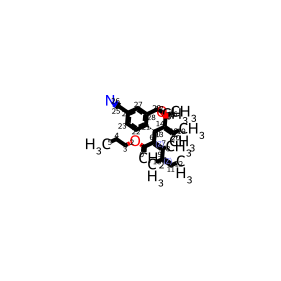 C=C(OCCC)/C(=C(C)\C(C)=C/C)[C@@H](C(C(C)=O)=C(C)C)c1ccc(C#N)cc1CC